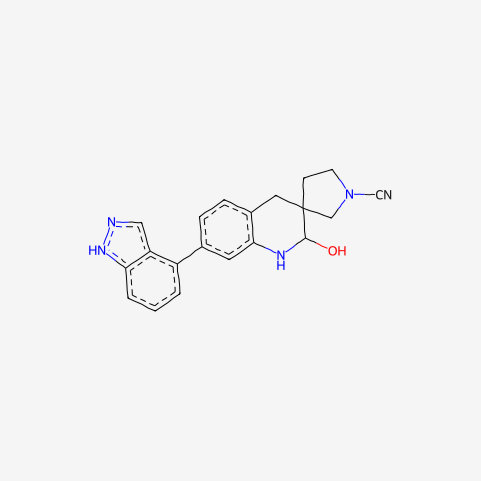 N#CN1CCC2(Cc3ccc(-c4cccc5[nH]ncc45)cc3NC2O)C1